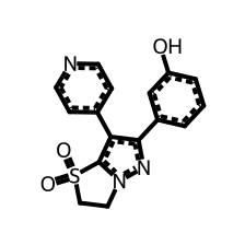 O=S1(=O)CCn2nc(-c3cccc(O)c3)c(-c3ccncc3)c21